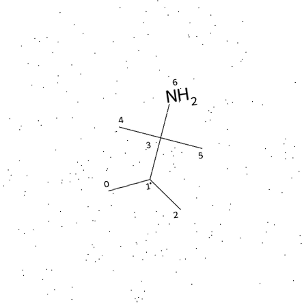 C[C](C)C(C)(C)N